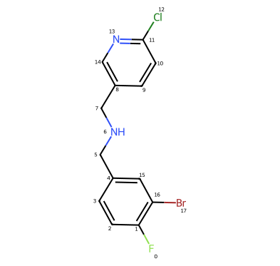 Fc1ccc(CNCc2ccc(Cl)nc2)cc1Br